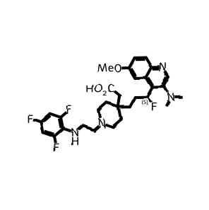 COc1ccc2ncc(N(C)C)c([C@@H](F)CCC3(CC(=O)O)CCN(CCNc4c(F)cc(F)cc4F)CC3)c2c1